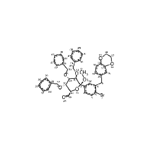 CO[C@@]1(c2ccc(Br)c(Cc3ccc4c(c3)OCCO4)c2)O[C@@H](C=O)[C@H](OCc2ccccc2)[C@H](OCc2ccccc2)[C@H]1OCc1ccccc1